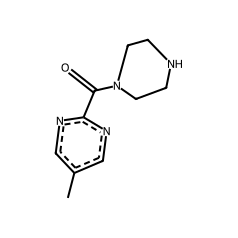 Cc1cnc(C(=O)N2CCNCC2)nc1